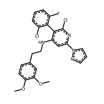 COc1ccc(CCNc2cc(-n3cccn3)nc(Cl)c2-c2c(F)cccc2Cl)cc1OC